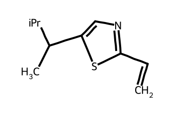 C=Cc1ncc(C(C)C(C)C)s1